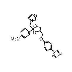 COc1ccc(C2(Cn3ccnc3)OCC(COc3ccc(-n4cncn4)cc3)O2)cc1